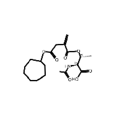 C=C(CC(=O)OC1CCCCCCC1)C(=O)O[C@H](C)[C@H](NC(C)=O)C(=O)O